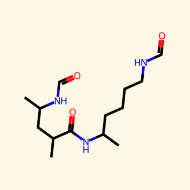 CC(CC(C)C(=O)NC(C)CCCCNC=O)NC=O